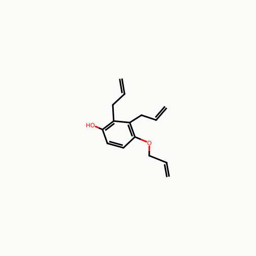 C=CCOc1ccc(O)c(CC=C)c1CC=C